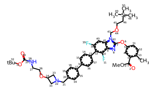 COC(=O)c1cc(Oc2nc3c(F)c(-c4ccc(-c5ccc(CN6CC(OCCNC(=O)OC(C)(C)C)C6)cc5)cc4)c(F)cc3n2COCC[Si](C)(C)C)ccc1C